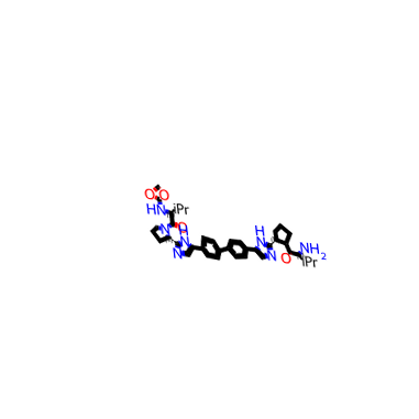 CC(C)[C@H](N)C(=O)C1CCC[C@H]1c1ncc(-c2ccc(-c3ccc(-c4cnc([C@@H]5CCCN5C(=O)[C@@H](NC5OCO5)C(C)C)[nH]4)cc3)cc2)[nH]1